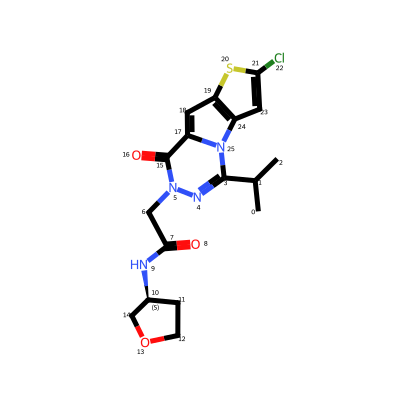 CC(C)c1nn(CC(=O)N[C@H]2CCOC2)c(=O)c2cc3sc(Cl)cc3n12